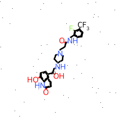 O=C(CCN1CCC(NC[C@@H](O)c2ccc(O)c3[nH]c(=O)ccc23)CC1)NCc1cccc(C(F)(F)F)c1F